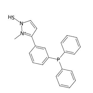 C[n+]1c(-c2cccc(P(c3ccccc3)c3ccccc3)c2)ccn1S